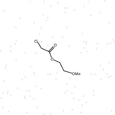 COCCOC(=O)CCl